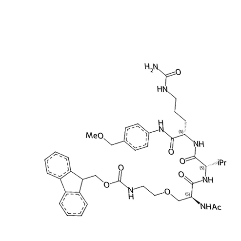 COCc1ccc(NC(=O)[C@H](CCCNC(N)=O)NC(=O)[C@@H](NC(=O)[C@H](COCCNC(=O)OCC2c3ccccc3-c3ccccc32)NC(C)=O)C(C)C)cc1